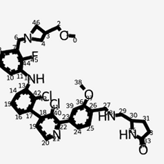 COCC1CN(Cc2cccc(Nc3cccc(-c4ccnc(-c5ccc(CNCC6CCC(=O)N6)c(OC)c5)c4Cl)c3Cl)c2F)C1